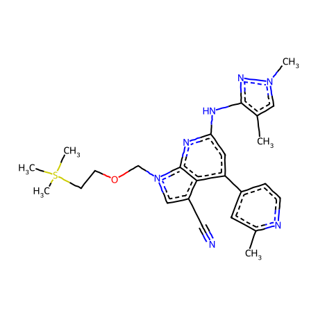 Cc1cc(-c2cc(Nc3nn(C)cc3C)nc3c2c(C#N)cn3COCCS(C)(C)C)ccn1